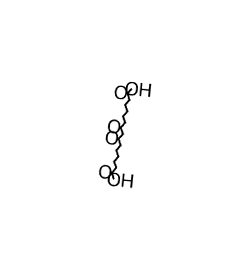 O=C(O)CCCCCC(=O)CC(=O)CCCCCC(=O)O